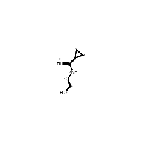 N=C(NOCO)C1CC1